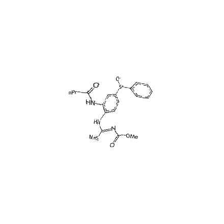 CCCC(=O)Nc1cc([S+]([O-])c2ccccc2)ccc1NC(=NC(=O)OC)SC